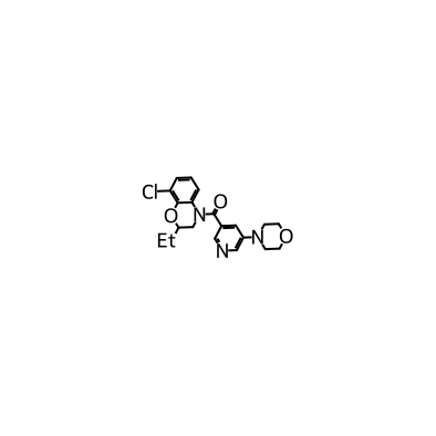 CCC1CN(C(=O)c2cncc(N3CCOCC3)c2)c2cccc(Cl)c2O1